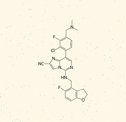 CN(C)Cc1ccc(-c2cnc(NCc3c(F)ccc4c3CCO4)n3cc(C#N)nc23)c(Cl)c1F